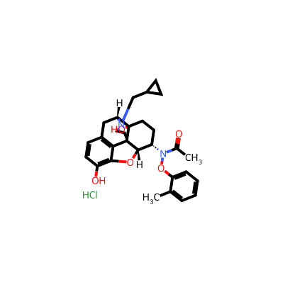 CC(=O)N(Oc1ccccc1C)[C@H]1CC[C@@]2(O)[C@H]3Cc4ccc(O)c5c4[C@@]2(CCN3CC2CC2)[C@H]1O5.Cl